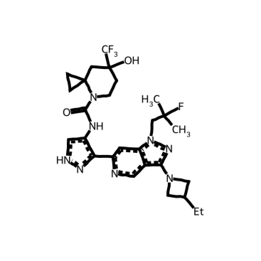 CCC1CN(c2nn(CC(C)(C)F)c3cc(-c4n[nH]cc4NC(=O)N4CCC(O)(C(F)(F)F)CC45CC5)ncc23)C1